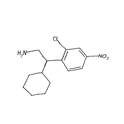 NCC(c1ccc([N+](=O)[O-])cc1Cl)C1CCCCC1